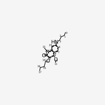 CCCCNc1ccc2c(OC)c(OCCCC)c(=O)n(C)c2c1